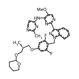 COc1cnc(-c2nn(Cc3c(F)cc(OC[C@H](C)COC4CCCCO4)cc3F)c3ccccc23)nc1Nc1ccnc(C)n1